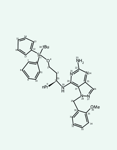 CCC[C@@H](CCO[Si](c1ccccc1)(c1ccccc1)C(C)(C)C)Nc1nc(N)nc2cnn(Cc3c[c]ccc3OC)c12